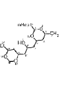 CCCCCCCC1OC(C)CC(CC(O)CC2CC(CC)OCO2)O1